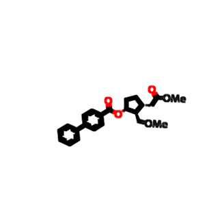 COC[C@@H]1[C@@H](CC(=O)OC)CC[C@H]1OC(=O)c1ccc(-c2ccccc2)cc1